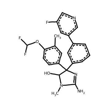 Cc1cc(C2(c3cccc(-c4cncc(F)c4)c3)N=C(N)N(C)C2O)ccc1OC(F)F